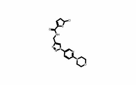 O=C(NCc1cn(-c2ccc(N3CCOCC3)nc2)nn1)C1=CCC(Cl)S1